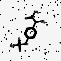 CC(C(N)=O)c1ccc(NS(C)(=O)=O)cc1